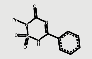 CC(C)N1C(=O)N=C(c2ccccc2)NS1(=O)=O